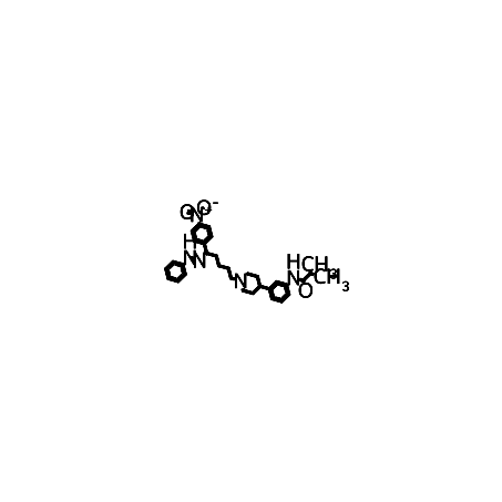 CC(C)C(=O)Nc1cccc(C2CCN(CCCCC(=NNc3ccccc3)c3ccc([N+](=O)[O-])cc3)CC2)c1